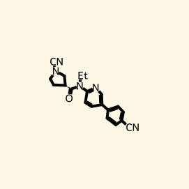 CCN(C(=O)[C@@H]1CCN(C#N)C1)c1ccc(-c2ccc(C#N)cc2)cn1